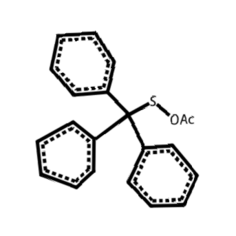 CC(=O)OSC(c1ccccc1)(c1ccccc1)c1ccccc1